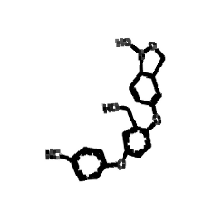 N#Cc1ccc(Oc2ccc(OC3=CC4COB(O)C4C=C3)c(CO)c2)cc1